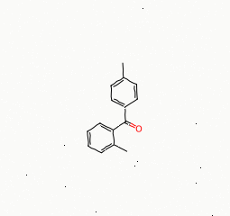 Cc1ccc(C(=O)c2ccccc2C)cc1